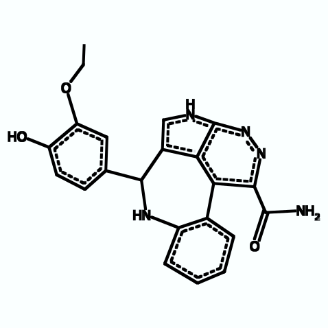 CCOc1cc(C2Nc3ccccc3-c3c(C(N)=O)nnc4[nH]cc2c34)ccc1O